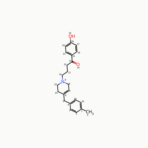 Cc1ccc(CC2=CCN(CCCC(=O)c3ccc(O)cc3)CC2)cc1